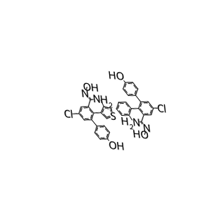 Cc1ccccc1-c1c(/C(N)=N/O)cc(Cl)cc1-c1ccc(O)cc1.Cc1cscc1-c1c(/C(N)=N/O)cc(Cl)cc1-c1ccc(O)cc1